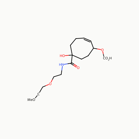 COCCOCCNC(=O)C1(O)CCC=CC(OC(=O)O)CC1